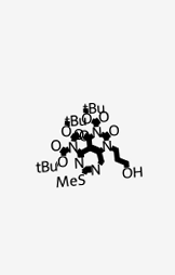 CSC1=NCc2c(c(=O)n(C(=O)OC(C)(C)C)c(=O)n2CCCO)C(N(C(=O)OC(C)(C)C)C(=O)OC(C)(C)C)=N1